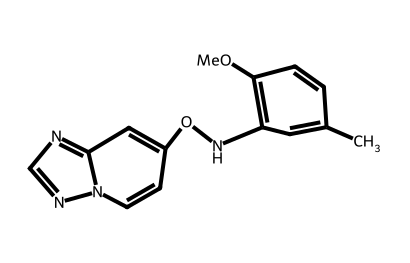 COc1ccc(C)cc1NOc1ccn2ncnc2c1